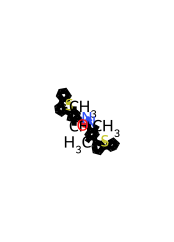 Cc1cc(-c2cccc3c2sc2ccccc23)c(C)cc1-c1nnc(-c2cc(C)c(-c3cccc4c3sc3ccccc34)cc2C)o1